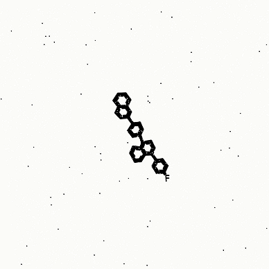 Fc1ccc(-c2ccc(-c3ccc(-c4ccc5ccccc5c4)cc3)c3ccccc23)cc1